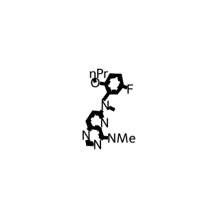 CCCOc1ccc(F)cc1CN(C)c1ccc2ncnc(NC)c2n1